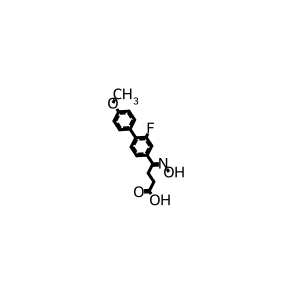 COc1ccc(-c2ccc(C(CCC(=O)O)=NO)cc2F)cc1